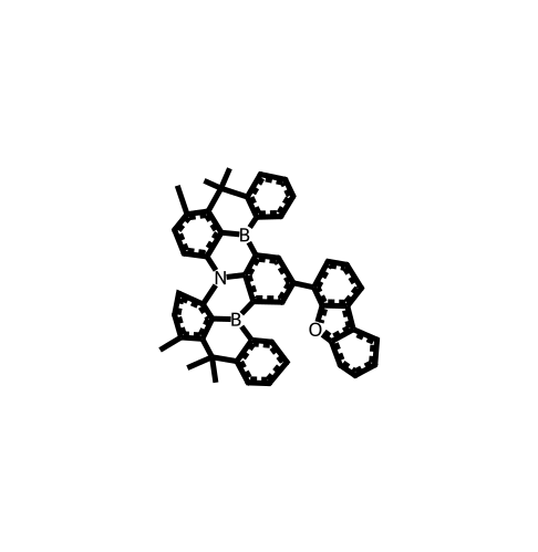 Cc1ccc2c3c1C(C)(C)c1ccccc1B3c1cc(-c3cccc4c3oc3ccccc34)cc3c1N2c1ccc(C)c2c1B3c1ccccc1C2(C)C